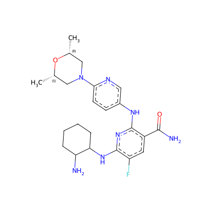 C[C@@H]1CN(c2ccc(Nc3nc(NC4CCCCC4N)c(F)cc3C(N)=O)cn2)C[C@H](C)O1